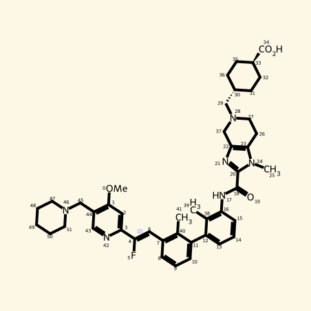 COc1cc(/C(F)=C/c2cccc(-c3cccc(NC(=O)c4nc5c(n4C)CCN(C[C@H]4CC[C@H](C(=O)O)CC4)C5)c3C)c2C)ncc1CN1CCCCC1